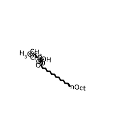 CCCCCCCCC=CCCCCCCCCCCCC(=O)OP(=O)(O)OCC[N+](C)(C)C